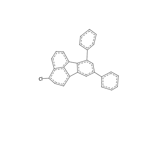 Clc1ccc2c3c(cccc13)-c1c(-c3ccccc3)cc(-c3ccccc3)cc1-2